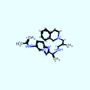 C=C(C)Nc1ccc2nc(C(=C)NCC(C)CN3CCc4ccccc4C3)cn2c1